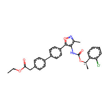 CCOC(=O)Cc1ccc(-c2ccc(-c3onc(C)c3NC(=O)O[C@H](C)c3ccccc3Cl)cc2)cc1